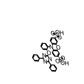 O=S(=O)(O)c1ccc2c(c1)Oc1cc(S(=O)(=O)O)ccc1N2c1ccccc1Oc1nc(-c2ccccc2)nc(-c2ccccc2)n1